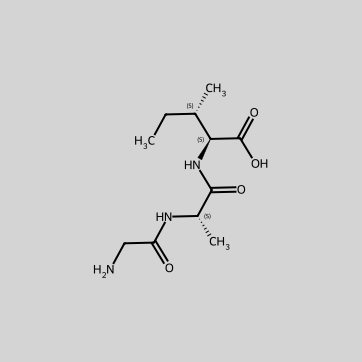 CC[C@H](C)[C@H](NC(=O)[C@H](C)NC(=O)CN)C(=O)O